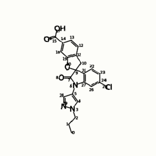 CCCn1cc(N2C(=O)C3(Cc4ccc(C(=O)O)cc4O3)c3ccc(Cl)cc32)cn1